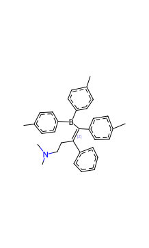 Cc1ccc(B(/C(=C(\CCN(C)C)c2ccccc2)c2ccc(C)cc2)c2ccc(C)cc2)cc1